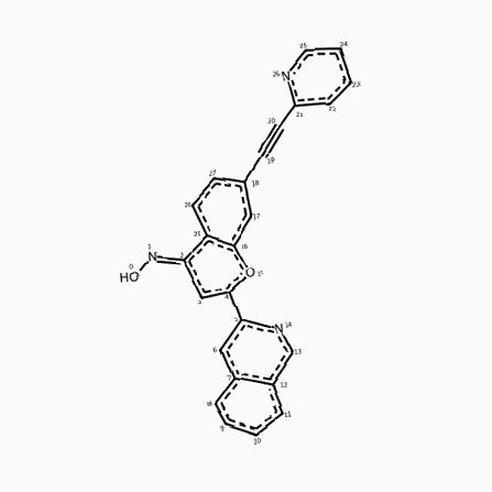 ON=c1cc(-c2cc3ccccc3cn2)oc2cc(C#Cc3ccccn3)ccc12